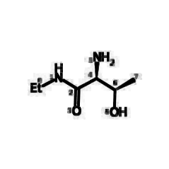 CCNC(=O)[C@@H](N)[C@@H](C)O